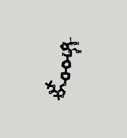 C[C@H](O)c1nccn1[C@@H](/C=C(\F)c1ccc(-c2ccc(OCC3COC(C)(C)N3C(=O)OC(C)(C)C)cc2)cc1)CO